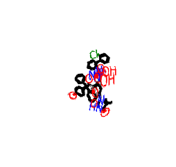 COc1ccc(C(c2ccccc2)(c2ccccc2)C(On2nnc3c(-c4ccccc4Cl)cccc32)[C@H]2O[C@@H](n3cc(C)c(=O)[nH]c3=O)C[C@@H]2OP(=O)(O)O)cc1